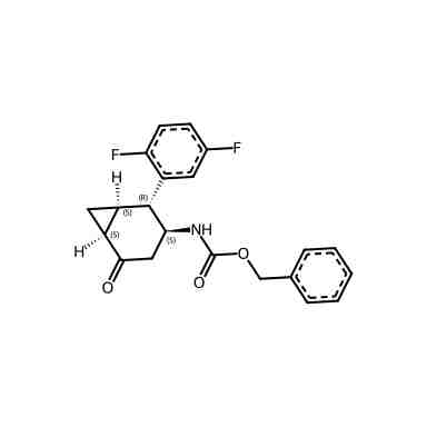 O=C(N[C@H]1CC(=O)[C@H]2C[C@H]2[C@@H]1c1cc(F)ccc1F)OCc1ccccc1